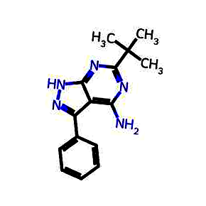 CC(C)(C)c1nc(N)c2c(-c3ccccc3)n[nH]c2n1